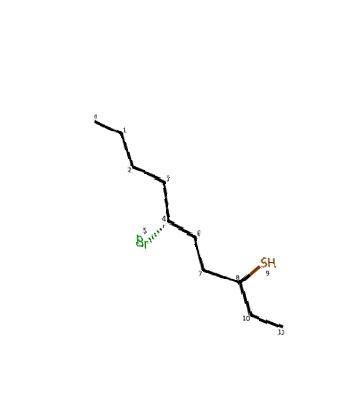 CCCC[C@@H](Br)CCC(S)CC